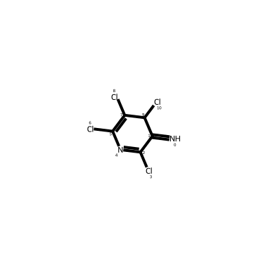 N=C1C(Cl)=NC(Cl)=C(Cl)C1Cl